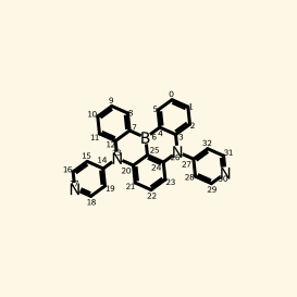 c1ccc2c(c1)B1c3ccccc3N(c3ccncc3)c3cccc(c31)N2c1ccncc1